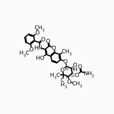 COc1cccc(OC)c1C(=O)Nc1c(O)c2ccc(O[C@@H]3OC(C)(C)[C@H](OC)[C@@H](OC(N)=O)[C@H]3O)c(C)c2oc1=O